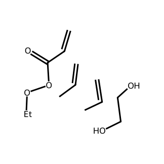 C=CC.C=CC.C=CC(=O)OOCC.OCCO